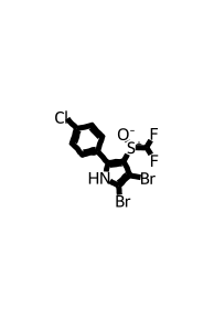 [O-][S+](c1c(-c2ccc(Cl)cc2)[nH]c(Br)c1Br)C(F)F